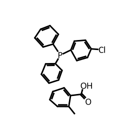 Cc1ccccc1C(=O)O.Clc1ccc(P(c2ccccc2)c2ccccc2)cc1